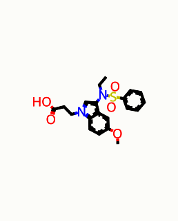 CCN(c1cn(CCC(=O)O)c2ccc(OC)cc12)S(=O)(=O)c1ccccc1